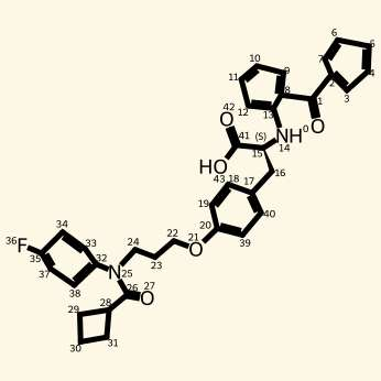 O=C(c1ccccc1)c1ccccc1N[C@@H](Cc1ccc(OCCCN(C(=O)C2CCC2)c2ccc(F)cc2)cc1)C(=O)O